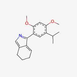 COc1cc(OC)c(C(C)C)cc1C1=NC=C2CCCC=C21